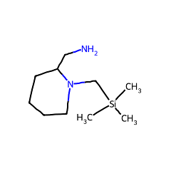 C[Si](C)(C)CN1CCCCC1CN